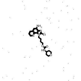 CCc1nc2c(N)cc3cccnc3c2n1CCCCOC(=O)NC1CCOCC1